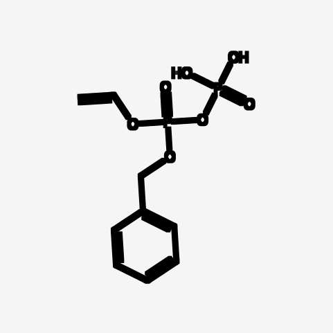 C=COP(=O)(OCc1ccccc1)OP(=O)(O)O